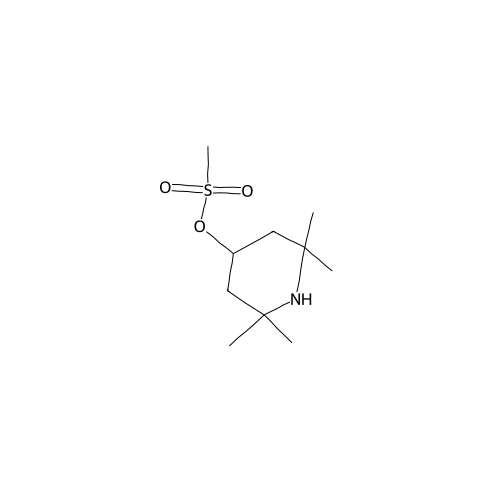 CC1(C)CC(OS(C)(=O)=O)CC(C)(C)N1